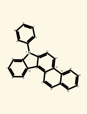 c1ccc(-n2c3ccccc3c3c4ccc5ccccc5c4ccc32)cc1